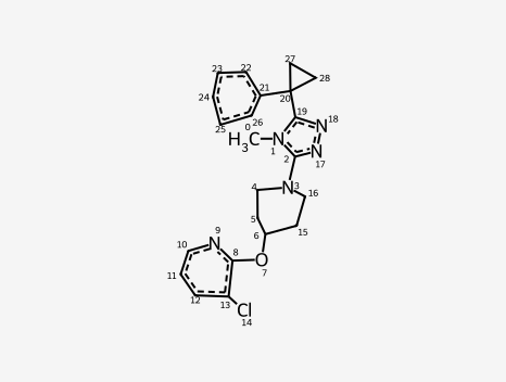 Cn1c(N2CCC(Oc3ncccc3Cl)CC2)nnc1C1(c2ccccc2)CC1